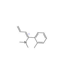 C=C/C=C(/c1ccccc1C)N(C)C